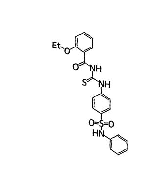 CCOc1ccccc1C(=O)NC(=S)Nc1ccc(S(=O)(=O)Nc2ccccc2)cc1